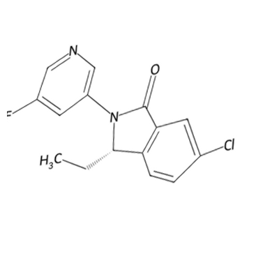 CC[C@H]1c2ccc(Cl)cc2C(=O)N1c1cncc(F)c1